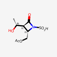 CC(=O)OC[C@@H]1[C@@H]([C@@H](C)O)C(=O)N1S(=O)(=O)O